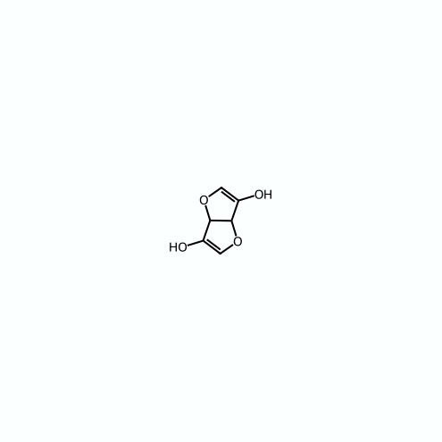 OC1=COC2C(O)=COC12